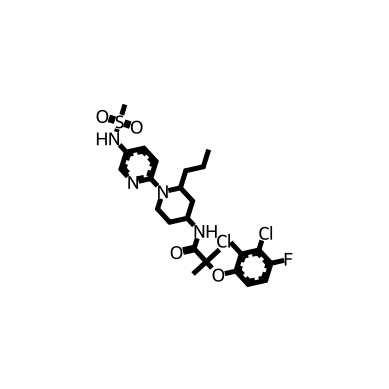 CCCC1CC(NC(=O)C(C)(C)Oc2ccc(F)c(Cl)c2Cl)CCN1c1ccc(NS(C)(=O)=O)cn1